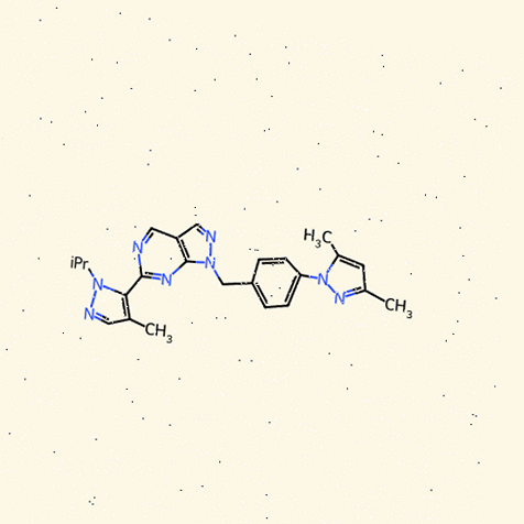 Cc1cc(C)n(-c2ccc(Cn3ncc4cnc(-c5c(C)cnn5C(C)C)nc43)cc2)n1